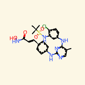 Cc1cnc(Nc2ccc(/C=C/C(=O)NO)cc2)nc1Nc1ccc(Cl)c(NS(=O)(=O)C(C)(C)C)c1